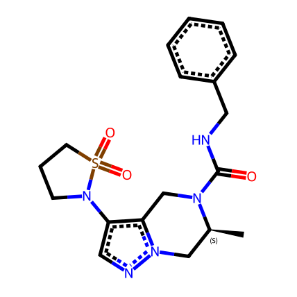 C[C@H]1Cn2ncc(N3CCCS3(=O)=O)c2CN1C(=O)NCc1ccccc1